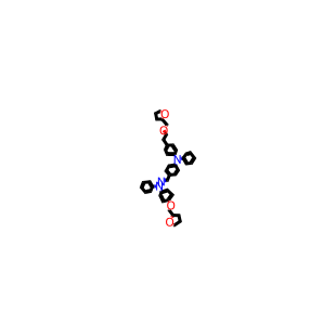 C(=NN(c1ccccc1)c1ccc(OCC2CCCO2)cc1)c1ccc(N(c2ccccc2)c2ccc(CCOCC3CCCO3)cc2)cc1